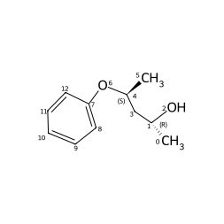 C[C@@H](O)C[C@H](C)Oc1ccccc1